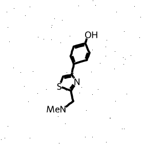 CNCc1nc(-c2ccc(O)cc2)cs1